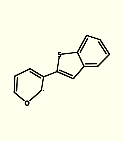 [CH]1OC=CC=C1c1cc2ccccc2s1